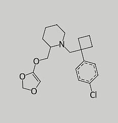 Clc1ccc(C2(CN3CCCCC3COC3=COCO3)CCC2)cc1